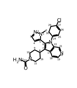 Cn1nccc1-c1c(C2CCN(C(N)=O)CC2)c2ccncc2n1C1=CC=C(Cl)CC1